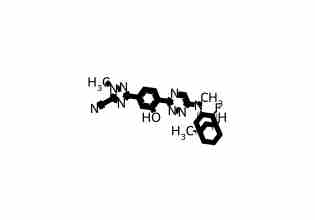 CN(c1cnc(-c2ccc(-c3nc(C#N)n(C)n3)cc2O)nn1)[C@H]1C[C@]2(C)CCC[C@@H](C2)[C@H]1F